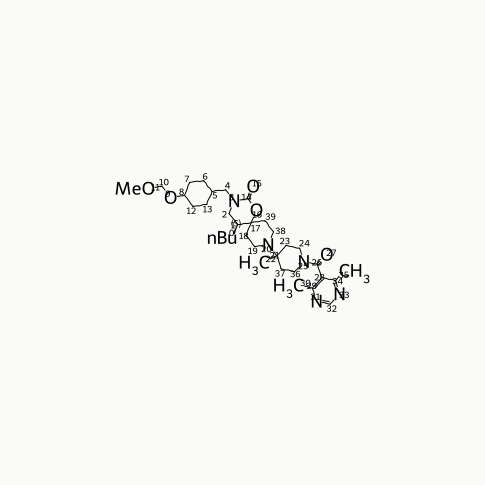 CCCC[C@H]1CN(CC2CCC(OCOC)CC2)C(=O)OC12CCN(C1(C)CCN(C(=O)c3c(C)ncnc3C)CC1)CC2